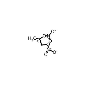 C[C@H](CO[N+](=O)[O-])O[N+](=O)[O-]